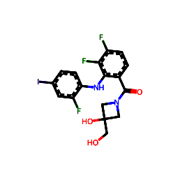 O=C(c1ccc(F)c(F)c1Nc1ccc(I)cc1F)N1CC(O)(CO)C1